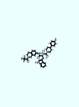 C[C@H](c1c[nH]c2ccccc12)[C@@H](NC(=O)N1CCC(c2ccc(F)cc2)CC1)C(=O)Nc1ccc2c(c1)CN(C(=O)C(F)(F)F)CC2